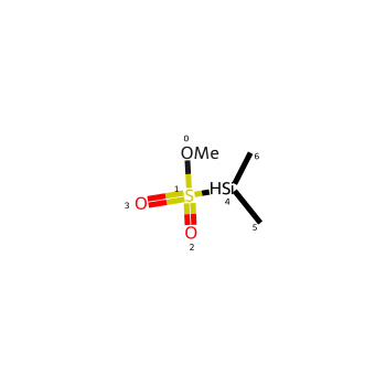 COS(=O)(=O)[SiH](C)C